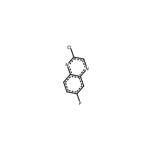 Fc1ccc2nc(Cl)cnc2c1